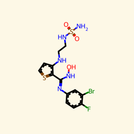 NS(=O)(=O)NCCNc1ccsc1C(=Nc1ccc(F)c(Br)c1)NO